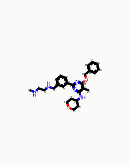 CNCCNCc1cccc(-c2nc(NC3CCOCC3)c(C)c(OCc3ccccc3)n2)c1